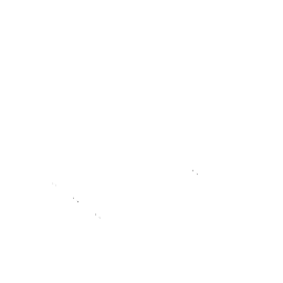 C/C(=C\C(=O)O)c1cnc2ccc(N=[N+]=[N-])cc2c1